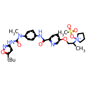 CC(COc1ccc(C(=O)Nc2ccc(N(C)C(=O)Nc3cc(C(C)(C)C)on3)cc2)nc1)[N+]1(OS(C)(=O)=O)CCCC1